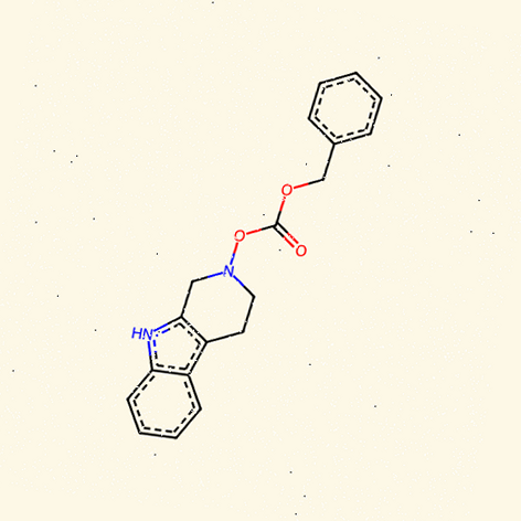 O=C(OCc1ccccc1)ON1CCc2c([nH]c3ccccc23)C1